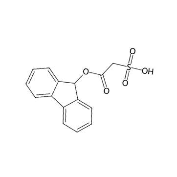 O=C(CS(=O)(=O)O)OC1c2ccccc2-c2ccccc21